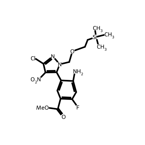 COC(=O)c1cc(-c2c([N+](=O)[O-])c(Cl)nn2COCC[Si](C)(C)C)c(N)cc1F